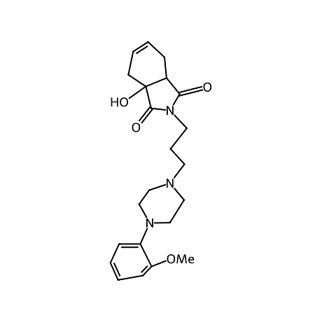 COc1ccccc1N1CCN(CCCN2C(=O)C3CC=CCC3(O)C2=O)CC1